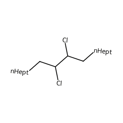 [CH2]CCCCCCCC(Cl)C(Cl)CCCCCCCC